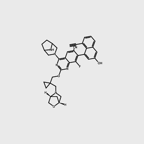 C#Cc1cccc2cc(O)cc(-c3c(C#N)cc4c(N5CC6CCC(C5)N6)nc(OCC5(CN6C[C@H]7C[C@@H]6CO7)CC5)nc4c3F)c12